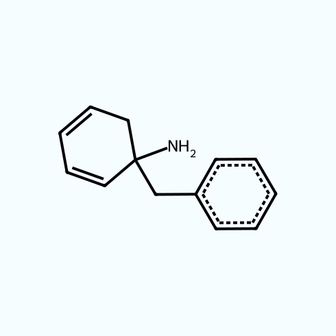 NC1(Cc2ccccc2)C=CC=CC1